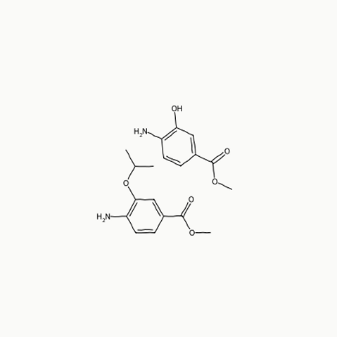 COC(=O)c1ccc(N)c(O)c1.COC(=O)c1ccc(N)c(OC(C)C)c1